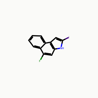 Fc1cc2[nH]c(I)cc2c2ccccc12